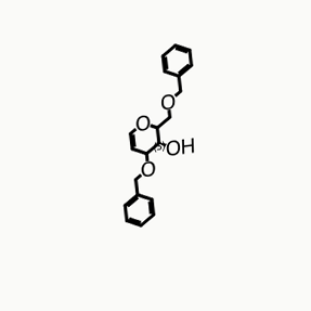 O[C@H]1C(OCc2ccccc2)C=COC1COCc1ccccc1